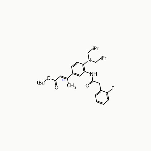 C/C(=C\C(=O)OC(C)(C)C)c1ccc(N(CC(C)C)CC(C)C)c(NC(=O)Cc2ccccc2F)c1